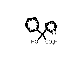 O=C(O)C(O)(c1ccccc1)c1ccco1